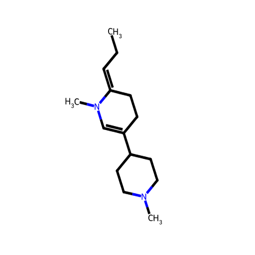 CC/C=C1\CCC(C2CCN(C)CC2)=CN1C